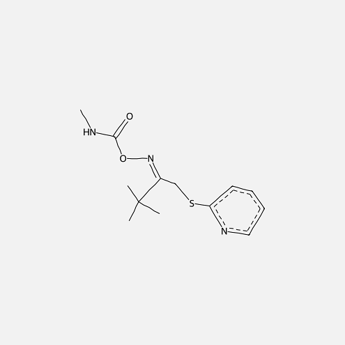 CNC(=O)O/N=C(/CSc1ccccn1)C(C)(C)C